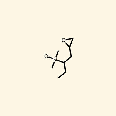 CCC(CC1CO1)[Si](C)(C)[O]